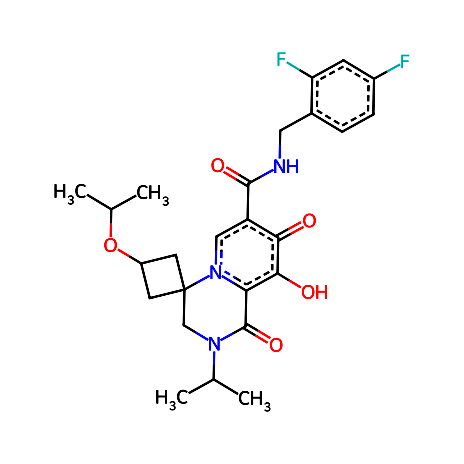 CC(C)OC1CC2(C1)CN(C(C)C)C(=O)c1c(O)c(=O)c(C(=O)NCc3ccc(F)cc3F)cn12